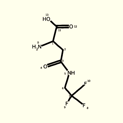 NC(CC(=O)NCC(F)(F)F)C(=O)O